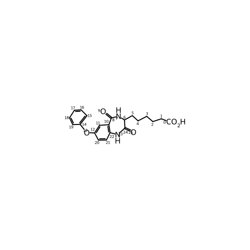 O=C(O)CCCCCC1NC(=O)c2cc(Oc3ccccc3)ccc2NC1=O